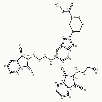 CC(C)(C)OC(=O)N1CCCC(c2cn3cc(OCCON4C(=O)c5ccccc5C4=O)ccc3n2)C1.O=C1c2ccccc2C(=O)N1OCCO